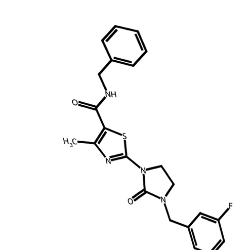 Cc1nc(N2CCN(Cc3cccc(F)c3)C2=O)sc1C(=O)NCc1ccccc1